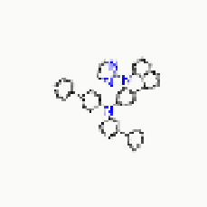 c1ccc(-c2ccc(N(c3cccc(-c4ccccc4)c3)c3ccc4c(c3)N(c3ncccn3)c3cccc5cccc-4c35)cc2)cc1